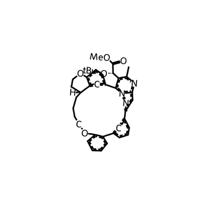 COC(=O)[C@@H](OC(C)(C)C)c1c(C)nc2cc3nn2c1-c1ccc2c(c1)[C@H](CCCCOc1ccccc1-c1cccc-3c1)CCO2